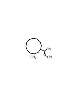 C.ON=C(S)C1CCCCCCCCCCC1